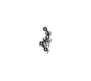 O=C(OCc1ccccc1)N1CCC(NC(=S)Nc2cccnc2NCc2ccc(F)cc2)CC1